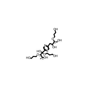 C[C@H](O)[C@H](OCCCO)C(O)(OCCCO)c1cnc(C[C@H](O)[C@H](CO)OCCCO)cn1